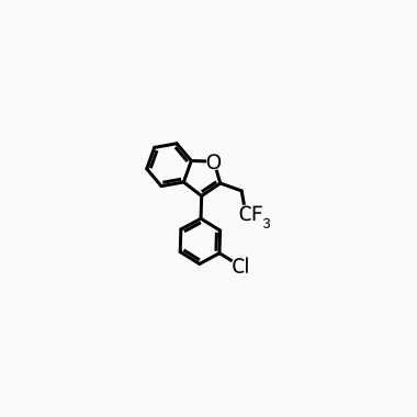 FC(F)(F)Cc1oc2ccccc2c1-c1cccc(Cl)c1